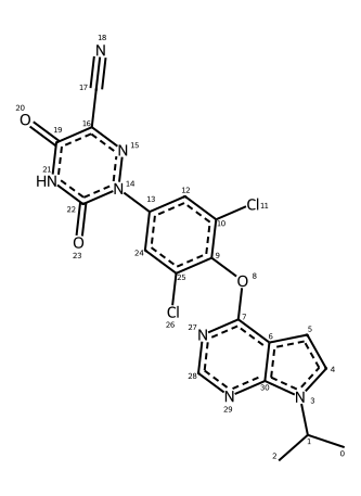 CC(C)n1ccc2c(Oc3c(Cl)cc(-n4nc(C#N)c(=O)[nH]c4=O)cc3Cl)ncnc21